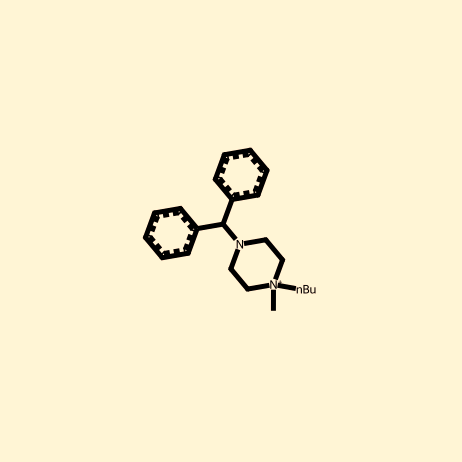 CCCC[N+]1(C)CCN(C(c2ccccc2)c2ccccc2)CC1